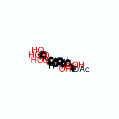 CC(=O)OC(C)(C)[C@@H](O)[C@H]1C[C@@H](C)C2C(O1)[C@H](O)[C@@]1(C)[C@@H]3CC[C@H]4C(C)(C)[C@@H](O[C@@H]5OC[C@@H](O)[C@H](O)[C@H]5O)CC[C@@]45C[C@@]35CC[C@]21C